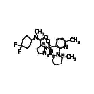 Cc1ccc(S(=O)(=O)N2CCC[C@H]2C(=O)N(C)C2CCC(F)(F)CC2)c(N2[C@H](C)CCC[C@@H]2C)n1